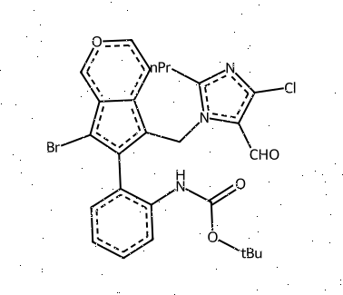 CCCc1nc(Cl)c(C=O)n1Cc1c2ccocc-2c(Br)c1-c1ccccc1NC(=O)OC(C)(C)C